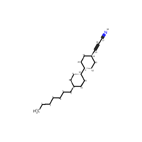 CCCCCCC[C@H]1CC[C@H]([C@H]2CC[C@H](C#CC#N)CC2)CC1